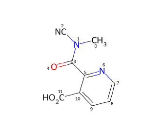 CN(C#N)C(=O)c1ncccc1C(=O)O